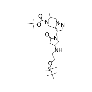 CC1Cn2ncc(N3CC(NCCO[Si](C)(C)C(C)(C)C)CC3=O)c2CN1C(=O)OC(C)(C)C